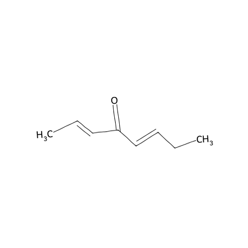 CC=CC(=O)C=CCC